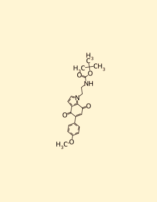 COc1ccc(C2=CC(=O)c3c(ccn3CCNC(=O)OC(C)(C)C)C2=O)cc1